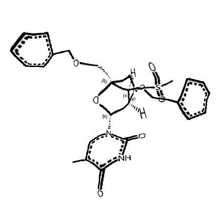 Cc1cn([C@@H]2O[C@@]3(COCc4ccccc4)CN(S(C)(=O)=O)[C@@H]2[C@@H]3OCc2ccccc2)c(=O)[nH]c1=O